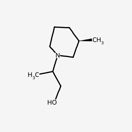 CC(CO)N1CCC[C@@H](C)C1